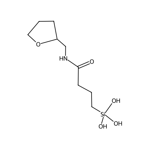 O=C(CCC[Si](O)(O)O)NCC1CCCO1